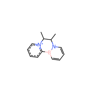 CC1C(C)[n+]2ccccc2B2C=CC=CN21